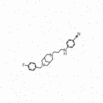 N#Cc1ccc(NCCCN2CC3CC(C2)CN(Cc2ccc(F)cc2)C3)cc1